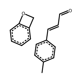 Cc1ccc(C=CC=O)cc1.c1ccc2c(c1)CO2